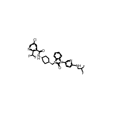 O=C(N[C@H]1CC[C@H](Cn2c(=O)n(-c3ccc(NCC(F)F)nc3)c3ccccc32)CC1)c1cc(Cl)cnc1C(F)F